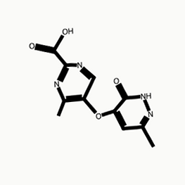 Cc1cc(Oc2cnc(C(=O)O)nc2C)c(=O)[nH]n1